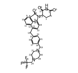 O=C1CCC(N2C(=O)c3cccc4c(Cc5ccc(CN6CCN(CC(F)(F)F)CC6)cc5)ccc2c34)C(=O)N1